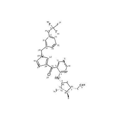 C[C@@H]1[C@@H](CO)C[C@@H](Nc2ncncc2C(=O)c2ccn(Cc3cccc(OC(F)(F)F)c3)c2)[C@H]1F